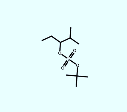 CCC(OS(=O)(=O)OC(C)(C)C)C(C)C